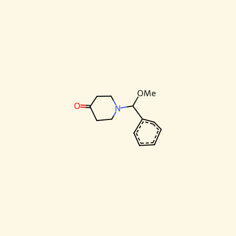 COC(c1ccccc1)N1CCC(=O)CC1